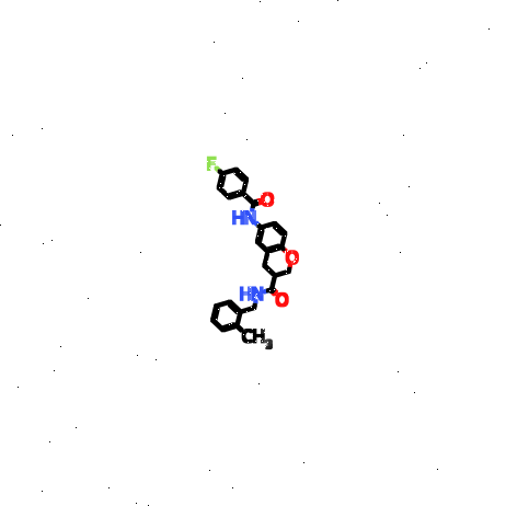 Cc1ccccc1CNC(=O)C1COc2ccc(NC(=O)c3ccc(F)cc3)cc2C1